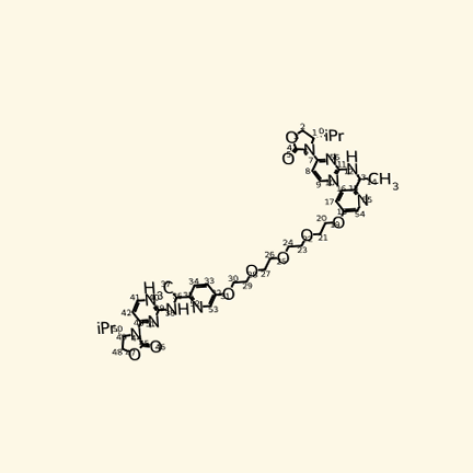 CC(C)[C@H]1COC(=O)N1c1ccnc(N[C@@H](C)c2ccc(OCCOCCOCCOCCOc3ccc([C@H](C)Nc4nccc(N5C(=O)OC[C@@H]5C(C)C)n4)nc3)cn2)n1